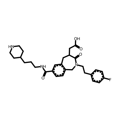 O=C(O)CC1Cc2cc(C(=O)NCCCC3CCNCC3)ccc2CN(CCc2ccc(F)cc2)C1=O